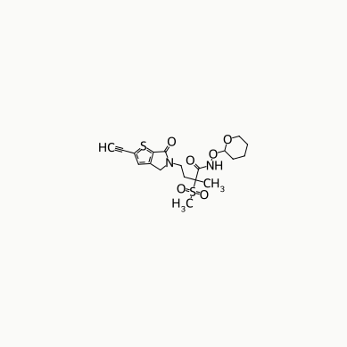 C#Cc1cc2c(s1)C(=O)N(CCC(C)(C(=O)NOC1CCCCO1)S(C)(=O)=O)C2